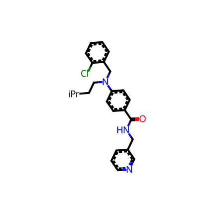 CC(C)CCN(Cc1ccccc1Cl)c1ccc(C(=O)NCc2cccnc2)cc1